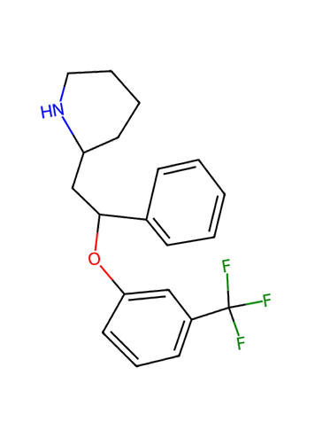 FC(F)(F)c1cccc(OC(CC2CCCCN2)c2ccccc2)c1